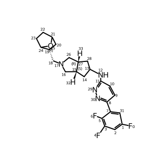 Fc1cc(F)c(F)c(-c2ccc(NC3C[C@@H]4CN(C[C@H]5CC6CCC5O6)C[C@@H]4C3)nn2)c1